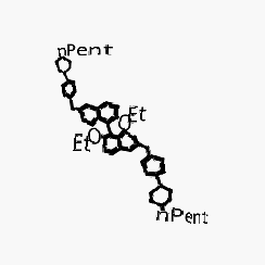 CCCCCC1CCC(c2ccc(Cc3ccc4c(-c5c(OCC)ccc6cc(Cc7ccc(C8CCC(CCCCC)CC8)cc7)ccc56)c(OCC)ccc4c3)cc2)CC1